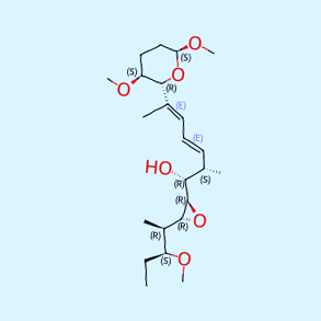 CC[C@H](OC)[C@@H](C)[C@H]1O[C@@H]1[C@H](O)[C@@H](C)/C=C/C=C(\C)[C@H]1O[C@H](OC)CC[C@@H]1OC